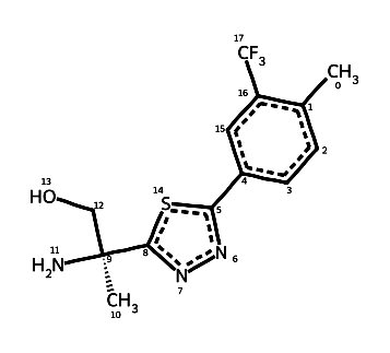 Cc1ccc(-c2nnc([C@@](C)(N)CO)s2)cc1C(F)(F)F